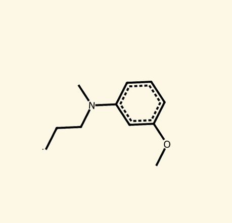 [CH2]CCN(C)c1cccc(OC)c1